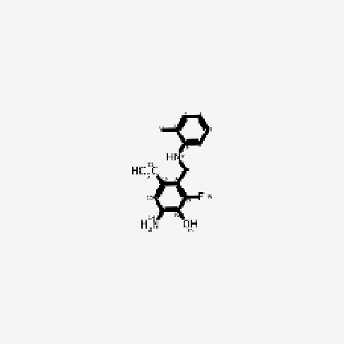 Cc1ccccc1NCc1c(C(=O)O)cc(N)c(O)c1F